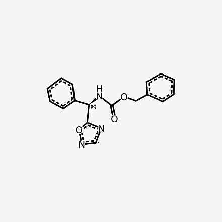 O=C(N[C@H](c1ccccc1)c1n[c]no1)OCc1ccccc1